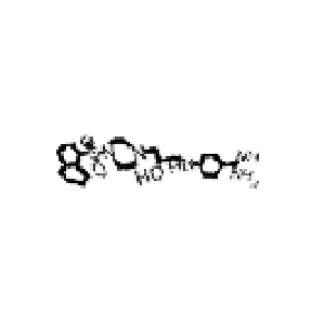 N=C(N)c1ccc(NCC(O)CN2CCN(S(=O)(=O)c3cccc4ccccc34)CC2)cc1